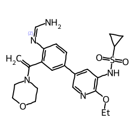 C=C(c1cc(-c2cnc(OCC)c(NS(=O)(=O)C3CC3)c2)ccc1/N=C\N)N1CCOCC1